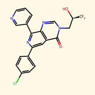 O=c1c2cc(-c3ccc(Cl)cc3)nc(-c3cccnc3)c2ncn1C[C@@H](O)C(F)(F)F